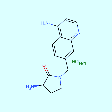 Cl.Cl.Nc1ccnc2cc(CN3CC[C@@H](N)C3=O)ccc12